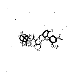 COc1c(CN2O[C@@H](CO)[C@@H]([C@H](C)O)[C@H]2C(=O)N[C@H]2C[C@H]3C[C@@H]([C@@H]2C)C3(C)C)ccc(Cl)c1-c1cc(C(=O)O)cc(N(C)C)c1